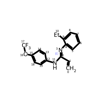 C=C/C(=N\c1ccccc1CC)Nc1ccc(OC(F)(F)F)cc1